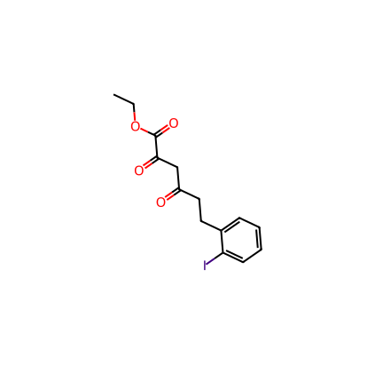 CCOC(=O)C(=O)CC(=O)CCc1ccccc1I